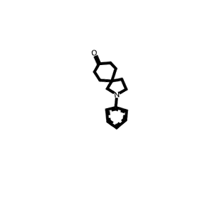 O=C1CCC2(CC1)CCN(c1ccccc1)C2